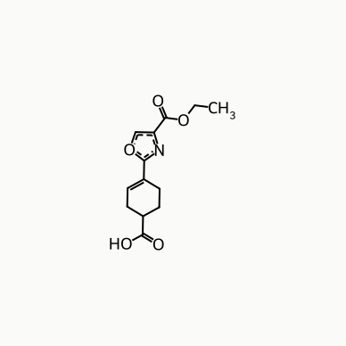 CCOC(=O)c1coc(C2=CCC(C(=O)O)CC2)n1